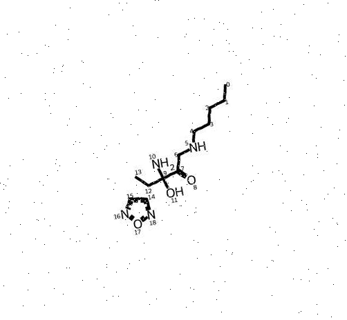 CCCCCNCC(=O)C(N)(O)CC.c1cnon1